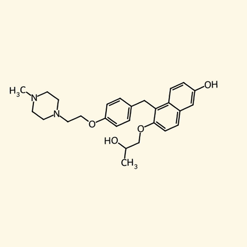 CC(O)COc1ccc2cc(O)ccc2c1Cc1ccc(OCCN2CCN(C)CC2)cc1